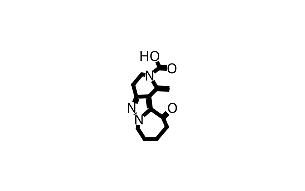 C=C1c2c(nn3c2C(=O)CCCC3)CCN1C(=O)O